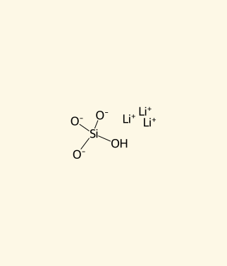 [Li+].[Li+].[Li+].[O-][Si]([O-])([O-])O